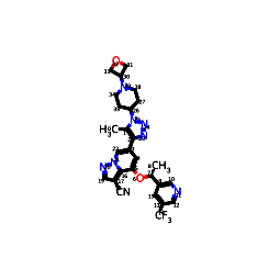 Cc1c(-c2cc(O[C@@H](C)c3cncc(C(F)(F)F)c3)c3c(C#N)cnn3c2)nnn1C1CCN(C2COC2)CC1